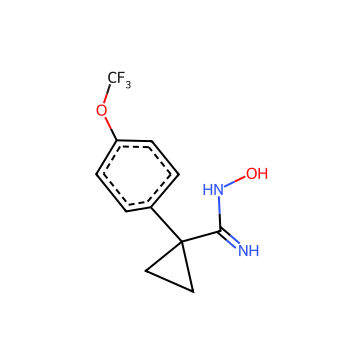 N=C(NO)C1(c2ccc(OC(F)(F)F)cc2)CC1